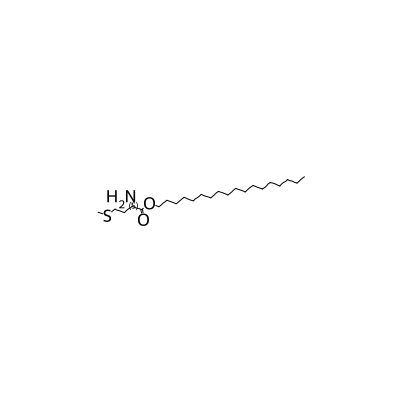 CCCCCCCCCCCCCCCCCCOC(=O)[C@@H](N)CCSC